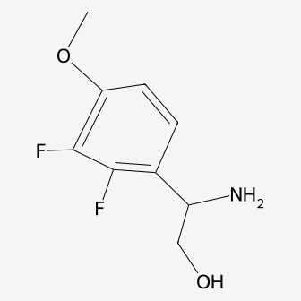 COc1ccc(C(N)CO)c(F)c1F